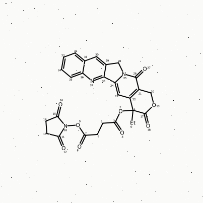 CCC1(OC(=O)CCC(=O)ON2C(=O)CCC2=O)C(=O)OCc2c1cc1n(c2=O)Cc2cc3ccccc3nc2-1